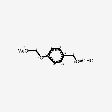 COCOc1ccc(CO[C]=O)cc1